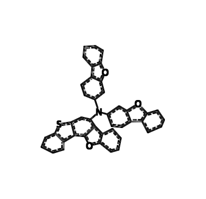 c1ccc2c(c1)oc1cc(N(c3ccc4c(c3)oc3ccccc34)c3cc4sc5ccccc5c4c4oc5ccccc5c34)ccc12